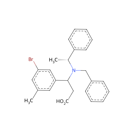 Cc1cc(Br)cc(C(CC(=O)O)N(Cc2ccccc2)[C@H](C)c2ccccc2)c1